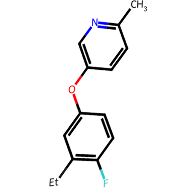 CCc1cc(Oc2ccc(C)nc2)ccc1F